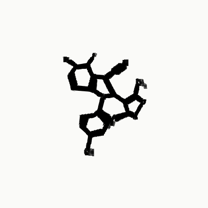 Cc1noc(C)c1-c1c(C#N)c2c(F)c(F)ccc2n1-c1ccc(O)cc1